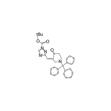 CC(C)(C)OC(=O)n1cnc(C=C2CN(C(c3ccccc3)(c3ccccc3)c3ccccc3)CCC2=O)n1